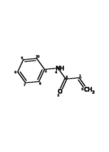 C=[C]C(=O)Nc1ccccc1